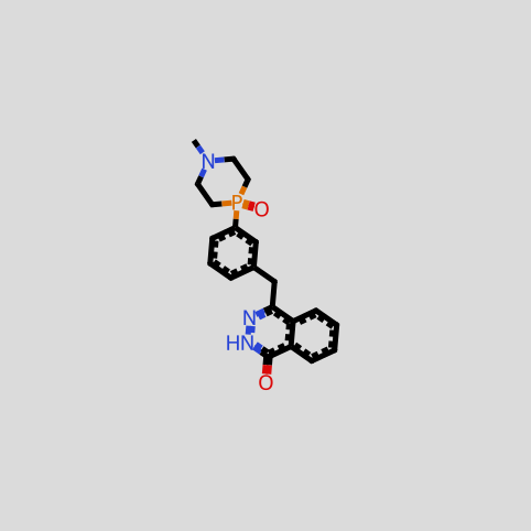 CN1CCP(=O)(c2cccc(Cc3n[nH]c(=O)c4ccccc34)c2)CC1